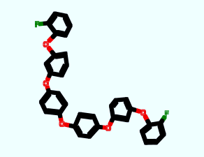 Fc1ccccc1Oc1cccc(Oc2ccc(Oc3ccc(Oc4cccc(Oc5ccccc5F)c4)cc3)cc2)c1